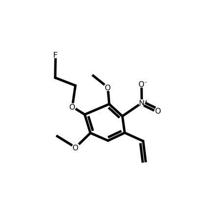 C=Cc1cc(OC)c(OCCF)c(OC)c1[N+](=O)[O-]